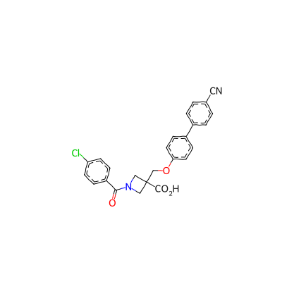 N#Cc1ccc(-c2ccc(OCC3(C(=O)O)CN(C(=O)c4ccc(Cl)cc4)C3)cc2)cc1